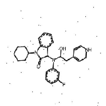 O=C1C(N(c2cccc(F)c2)C(O)CC2=CCNC=C2)c2ccccc2N1C1CCCCC1